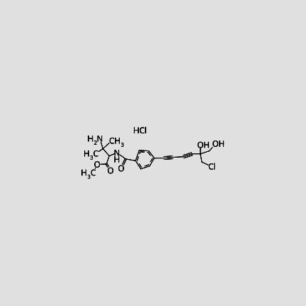 COC(=O)C(NC(=O)c1ccc(C#CC#CC(O)(CO)CCl)cc1)C(C)(C)N.Cl